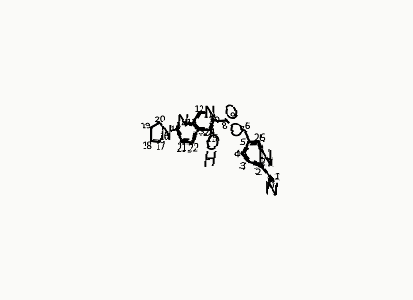 N#Cc1ccc(COC(=O)c2ncc3nc(N4CCCC4)ccc3c2O)cn1